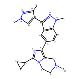 CC(=O)N1CCn2c(C3CC3)nc(-c3ccc4c(c3)c(-c3cn(C)nc3C)nn4C)c2C1